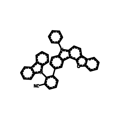 N#Cc1cccc(-c2ccc3c(c2)c2c4oc5ccccc5c4ccc2n3-c2ccccc2)c1-n1c2ccccc2c2ccccc21